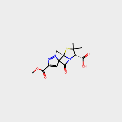 COC(=O)C1=CC2(N=N1)C(=O)N1[C@@H](C(=O)O)C(C)(C)S[C@@H]12